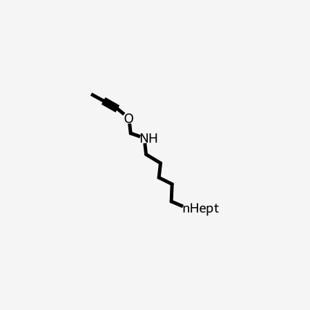 CC#COCNCCCCCCCCCCCC